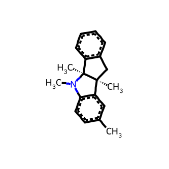 Cc1ccc2c(c1)[C@]1(C)Cc3ccccc3[C@]1(C)N2C